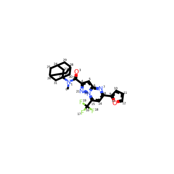 CN(C(=O)c1cc2nc(-c3ccco3)cc(C(F)(F)F)n2n1)C12CC3CC(CC(C3)C1)C2